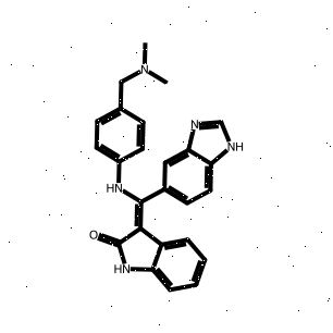 CN(C)Cc1ccc(N/C(=C2\C(=O)Nc3ccccc32)c2ccc3[nH]cnc3c2)cc1